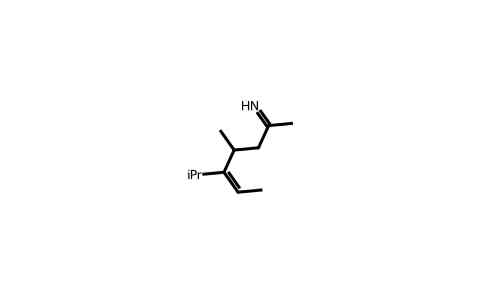 C/C=C(/C(C)C)C(C)CC(C)=N